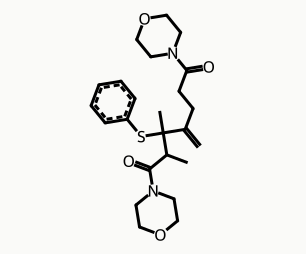 C=C(CCC(=O)N1CCOCC1)C(C)(Sc1ccccc1)C(C)C(=O)N1CCOCC1